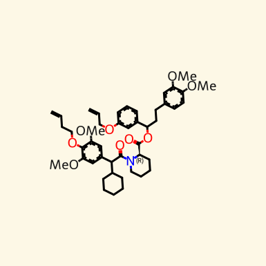 C=CCCOc1c(OC)cc(C(C(=O)N2CCCC[C@@H]2C(=O)OC(CCc2ccc(OC)c(OC)c2)c2cccc(OCC=C)c2)C2CCCCC2)cc1OC